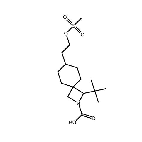 CC(C)(C)C1N(C(=O)O)CC12CCC(CCOS(C)(=O)=O)CC2